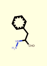 NNC([C]=O)Cc1ccccc1